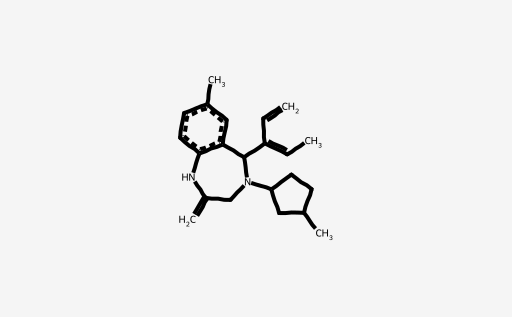 C=C/C(=C\C)C1c2cc(C)ccc2NC(=C)CN1C1CCC(C)C1